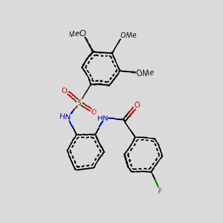 COc1cc(S(=O)(=O)Nc2ccccc2NC(=O)c2ccc(F)cc2)cc(OC)c1OC